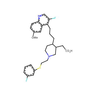 COc1ccc2ncc(F)c(CCCC3CCN(CCSc4cccc(F)c4)CC3CC(=O)O)c2c1